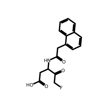 O=C(O)CC(NC(=O)Cc1cccc2ccccc12)C(=O)CF